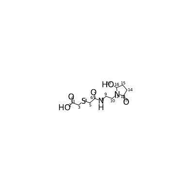 O=C(O)CSCC(=O)NCCN1C(=O)CCC1O